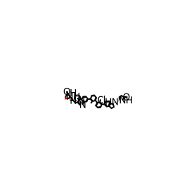 Cc1c(-c2ccn3c(=O)c(CNC[C@@H]4CCC(=O)N4)cnc3c2)cccc1-c1cccc(-c2ccc3c(c2)CC[C@H]3NC[C@@H]2CCC(=O)N2)c1Cl